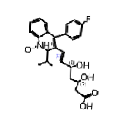 CC(C)C1C(/C=C/[C@@H](O)C[C@@H](O)CC(=O)O)=C(c2ccc(F)cc2)c2ccccc2[NH+]1[O-]